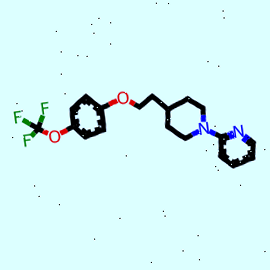 FC(F)(F)Oc1ccc(OCCC2CCN(c3ccccn3)CC2)cc1